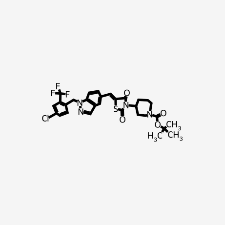 CC(C)(C)OC(=O)N1CCCC(N2C(=O)SC(=Cc3ccc4c(cnn4Cc4ccc(Cl)cc4C(F)(F)F)c3)C2=O)CC1